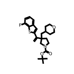 C=C(c1cc2cccc(F)c2s1)C1(CC2CCOCC2)CCN(C(=O)OC(C)(C)C)C1